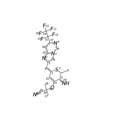 CCSC(=C\c1cn2cnc(C(F)(F)C(F)(F)F)cc2n1)/C=C(\C=N)OC(C)(C)C#N